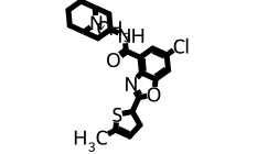 CC1=CCC(c2nc3c(C(=O)NC4CC5CCCC(C4)N5C)cc(Cl)cc3o2)S1